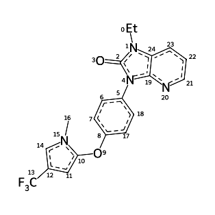 CCn1c(=O)n(-c2ccc(Oc3cc(C(F)(F)F)cn3C)cc2)c2ncccc21